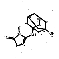 CN1C(=O)CN=C1NC12CC3CC(CC(O)(C3)C1)C2